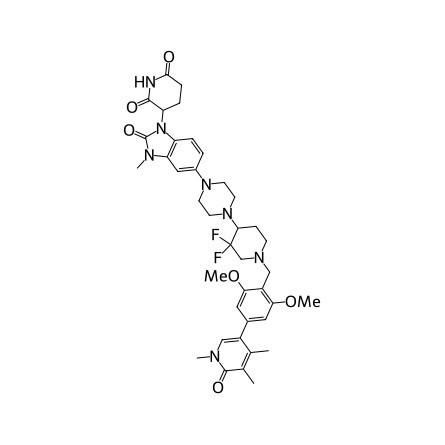 COc1cc(-c2cn(C)c(=O)c(C)c2C)cc(OC)c1CN1CCC(N2CCN(c3ccc4c(c3)n(C)c(=O)n4C3CCC(=O)NC3=O)CC2)C(F)(F)C1